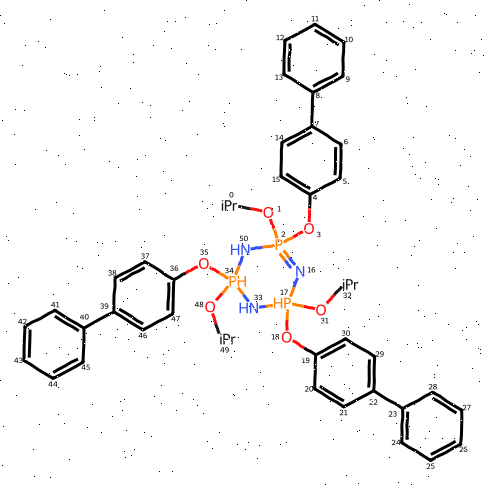 CC(C)OP1(Oc2ccc(-c3ccccc3)cc2)=N[PH](Oc2ccc(-c3ccccc3)cc2)(OC(C)C)N[PH](Oc2ccc(-c3ccccc3)cc2)(OC(C)C)N1